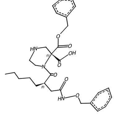 CCCCC[C@H](CC(=O)NOCc1ccccc1)C(=O)N1CCNC[C@]1(C(=O)O)C(=O)OCc1ccccc1